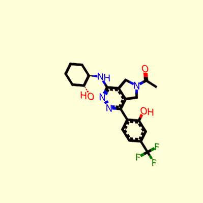 CC(=O)N1Cc2c(N[C@@H]3CCCC[C@H]3O)nnc(-c3ccc(C(F)(F)F)cc3O)c2C1